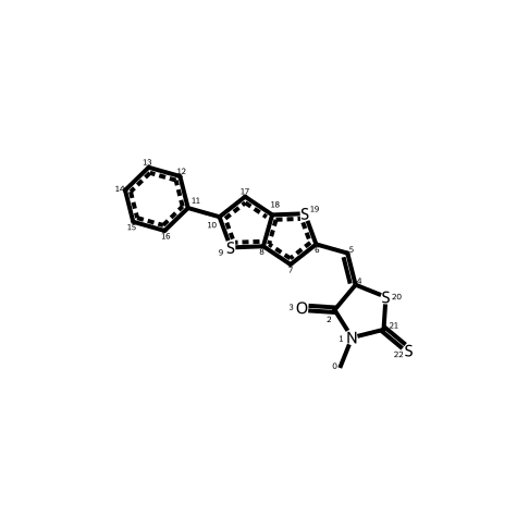 CN1C(=O)/C(=C\c2cc3sc(-c4ccccc4)cc3s2)SC1=S